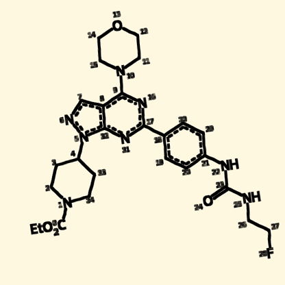 CCOC(=O)N1CCC(n2ncc3c(N4CCOCC4)nc(-c4ccc(NC(=O)NCCF)cc4)nc32)CC1